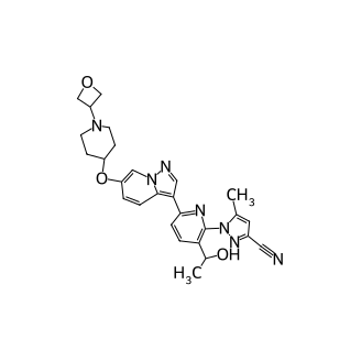 Cc1cc(C#N)nn1-c1nc(-c2cnn3cc(OC4CCN(C5COC5)CC4)ccc23)ccc1C(C)O